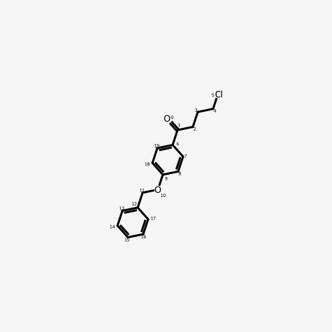 O=C(CCCCl)c1ccc(OCc2ccccc2)cc1